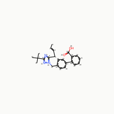 C/C=C/Cc1nc(C(C)(C)C)nn1Cc1ccc(-c2ccccc2C(=O)O)cc1